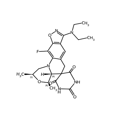 CCN(CC)c1noc2c(F)c3c(cc12)CC1(C(=O)NC(=O)NC1=O)[C@@H]1[C@@H](C)O[C@@H](C)CN31